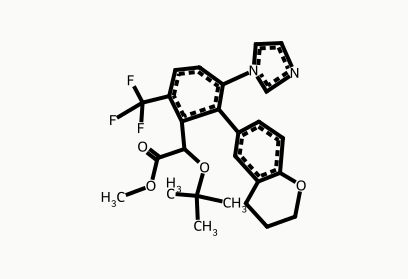 COC(=O)C(OC(C)(C)C)c1c(C(F)(F)F)ccc(-n2ccnc2)c1-c1ccc2c(c1)CCCO2